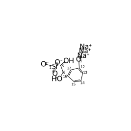 O=[Si]([O-])[O-].OCCO.[Na+].[Na+].[Na+].[O-]c1ccccc1